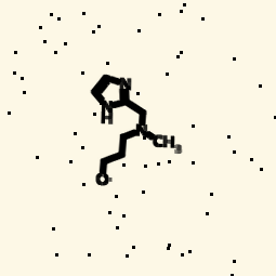 CN(CCC[O])Cc1ncc[nH]1